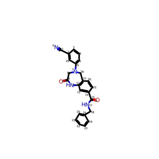 N#Cc1cccc(N2CC(=O)Nc3cc(C(=O)NCc4ccccc4)ccc3C2)c1